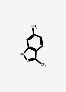 Nc1ccc2c(C(F)(F)F)n[nH]c2c1